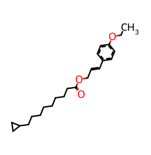 CCOc1ccc(C=CCOC(=O)CCCCCCCCC2CC2)cc1